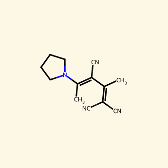 CC(=C(C#N)C#N)/C(C#N)=C(\C)N1CCCC1